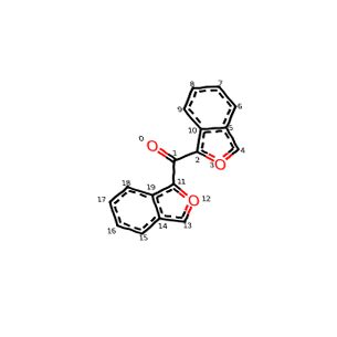 O=C(c1occ2ccccc12)c1occ2ccccc12